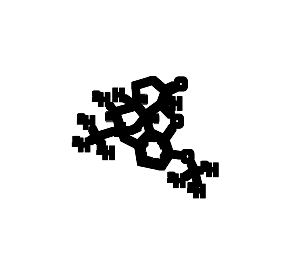 [2H]C([2H])([2H])Oc1ccc2c3c1OC1([2H])C(=O)CC[C@H]4[C@@]([2H])(C2)N(C([2H])([2H])[2H])CC[C@@]341